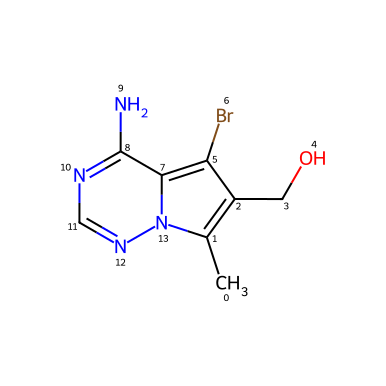 Cc1c(CO)c(Br)c2c(N)ncnn12